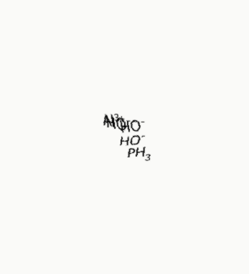 P.[Al+3].[OH-].[OH-].[OH-]